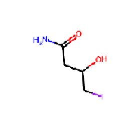 NC(=O)CC(O)CI